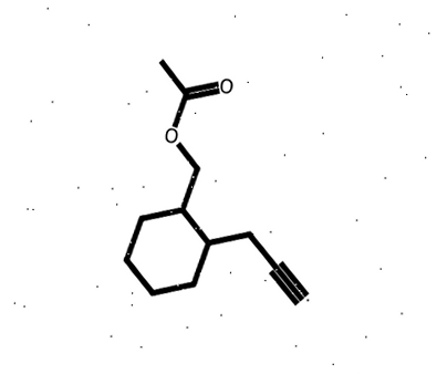 [C]#CCC1CCCCC1COC(C)=O